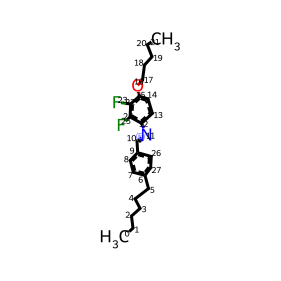 CCCCCCc1ccc(/C=N/c2ccc(OCCCCC)c(F)c2F)cc1